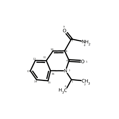 CC(C)n1c(=O)c(C(N)=O)cc2ccccc21